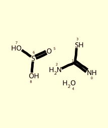 N=C(N)S.O.O=S(O)O